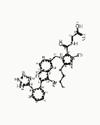 CCCCc1nc(Cl)c(C(=O)NCC(=O)O)n1Cc1ccc2oc(-c3ccccc3-c3nnn[nH]3)c(Br)c2c1